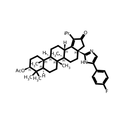 CC(=O)O[C@H]1CC[C@]2(C)[C@H]3CC[C@@H]4C5=C(C(C)C)C(=O)C[C@]5(c5ncc(-c6ccc(F)cc6)[nH]5)CC[C@@]4(C)[C@]3(C)CC[C@H]2C1(C)C